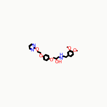 COc1ccc(CCNCC(O)COc2ccc(OCCOc3ncccn3)cc2)cc1OC